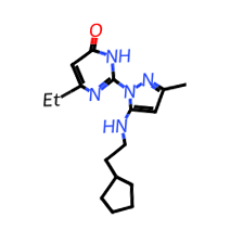 CCc1cc(=O)[nH]c(-n2nc(C)cc2NCCC2CCCC2)n1